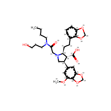 CCCCN(CCCO)C(=O)CN1C[C@H](c2cc(OC)c3c(c2)OCO3)[C@@H](C(=O)O)[C@@H]1CCc1cccc2c1OCO2